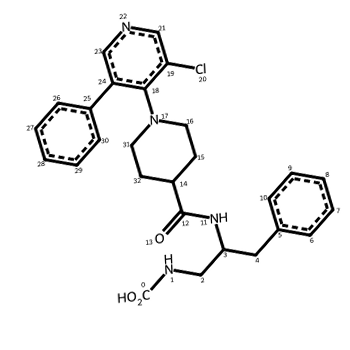 O=C(O)NCC(Cc1ccccc1)NC(=O)C1CCN(c2c(Cl)cncc2-c2ccccc2)CC1